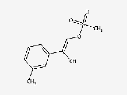 Cc1cccc(C(C#N)=COS(C)(=O)=O)c1